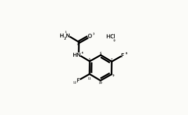 Cl.NC(=O)Nc1cc(F)ccc1F